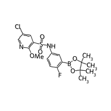 COc1ncc(Cl)cc1S(=O)(=O)Nc1ccc(F)c(B2OC(C)(C)C(C)(C)O2)c1